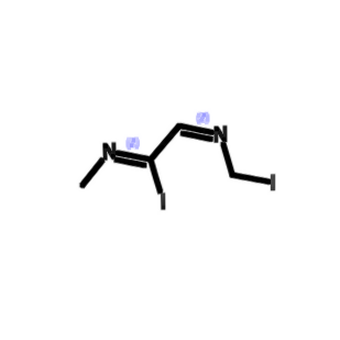 C/N=C(I)/C=N\CI